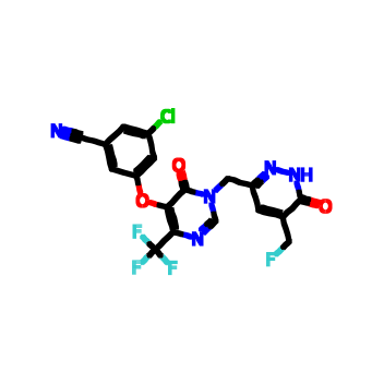 N#Cc1cc(Cl)cc(Oc2c(C(F)(F)F)ncn(Cc3cc(CF)c(=O)[nH]n3)c2=O)c1